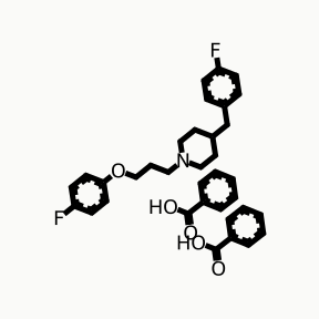 Fc1ccc(CC2CCN(CCCOc3ccc(F)cc3)CC2)cc1.O=C(O)c1ccccc1.O=C(O)c1ccccc1